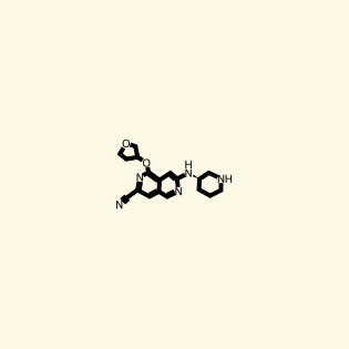 N#Cc1cc2cnc(N[C@H]3CCCNC3)cc2c(OC2CCOC2)n1